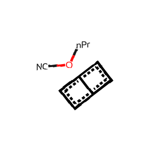 CCCOC#N.c1cc2ccc1-2